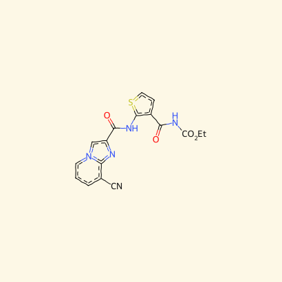 CCOC(=O)NC(=O)c1ccsc1NC(=O)c1cn2cccc(C#N)c2n1